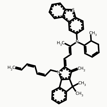 C=C/C=C\C=C/Cn1c2c(c(=C)/c1=C\C=C(/C)N(C1=CC=CCC1C)c1ccc3sc4ccccc4c3c1)C(C)(C)c1ccccc1-2